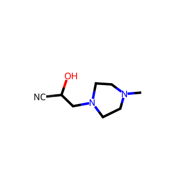 CN1CCN(CC(O)C#N)CC1